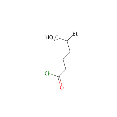 CCC(CCCC(=O)Cl)C(=O)O